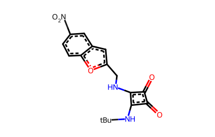 CC(C)(C)Nc1c(NCc2cc3cc([N+](=O)[O-])ccc3o2)c(=O)c1=O